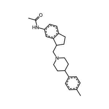 CC(=O)Nc1ccc2c(c1)C(CN1CCC(c3ccc(C)cc3)CC1)CC2